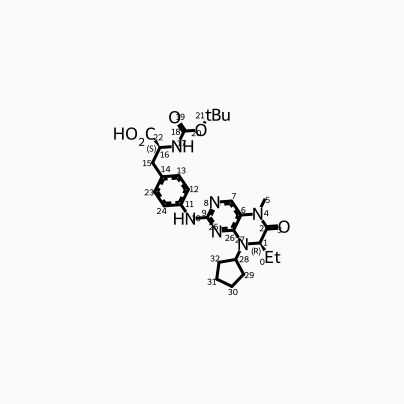 CC[C@@H]1C(=O)N(C)c2cnc(Nc3ccc(C[C@H](NC(=O)OC(C)(C)C)C(=O)O)cc3)nc2N1C1CCCC1